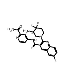 NC(=O)c1cc(NC(=O)c2cc3cc(F)ccc3nc2N2CCC(F)(F)[C@H](N)C2)ccn1